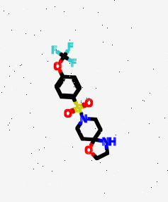 O=S(=O)(c1ccc(OC(F)(F)F)cc1)N1CCC2(CC1)NCCO2